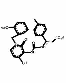 COc1ccccc1Cn1ccc(O)c(NC(=O)N[C@@H](CC(=O)O)c2ccc(C)cc2)c1=O